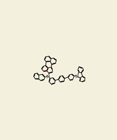 c1ccc(-c2cccc3cccc(-c4ccc(N(c5cccc(-c6ccc(-c7ccc(-n8c9ccccc9c9ccccc98)cc7)cc6)c5)c5ccc6ccccc6c5)cc4)c23)cc1